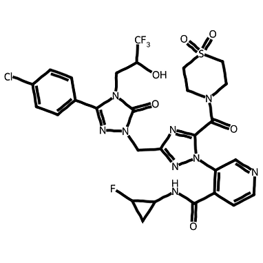 O=C(NC1CC1F)c1ccncc1-n1nc(Cn2nc(-c3ccc(Cl)cc3)n(CC(O)C(F)(F)F)c2=O)nc1C(=O)N1CCS(=O)(=O)CC1